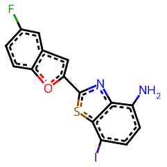 Nc1ccc(I)c2sc(-c3cc4cc(F)ccc4o3)nc12